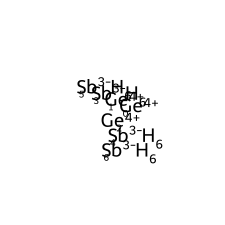 [Ge+4].[Ge+4].[Ge+4].[SbH6-3].[SbH6-3].[SbH6-3].[SbH6-3]